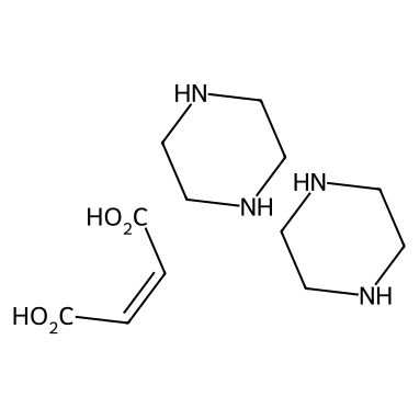 C1CNCCN1.C1CNCCN1.O=C(O)/C=C\C(=O)O